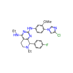 CCNc1nc(Nc2ccc(-n3cnc(Cl)c3)c(OC)c2)nc2c1CCN(CC)C2c1ccc(F)cc1